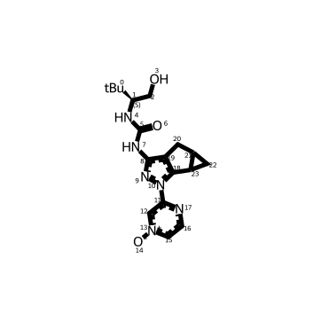 CC(C)(C)[C@@H](CO)NC(=O)Nc1nn(-c2c[n+]([O-])ccn2)c2c1CC1CC21